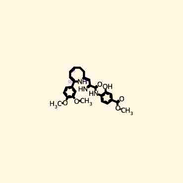 COC(=O)c1ccc(NC(=O)C(=N)/C=C2/CC/C=C\C=C(\c3ccc(OC)c(OC)c3)N2)c(O)c1